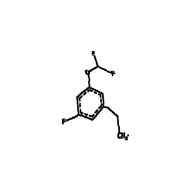 [CH2]Cc1cc(F)cc(OC(F)F)c1